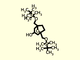 CC(C)(C)[Si](C)(C)OCC12CCC(CO[Si](C)(C)C(C)(C)C)(CC(O)C1)O2